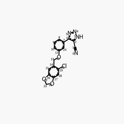 N#Cc1[nH]nnc1-c1cccc(OCc2cc3c(cc2Cl)OCO3)c1